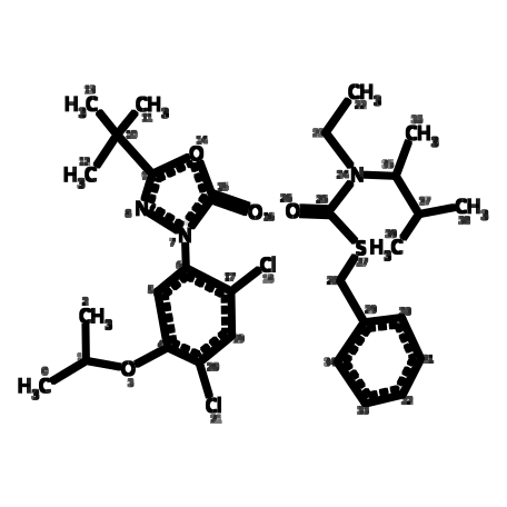 CC(C)Oc1cc(-n2nc(C(C)(C)C)oc2=O)c(Cl)cc1Cl.CCN(C(=O)SCc1ccccc1)C(C)C(C)C